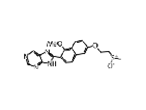 COc1c(-c2nc3cncnc3[nH]2)ccc2cc(OCC[S+](C)[O-])ccc12